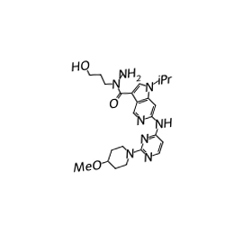 COC1CCN(c2nccc(Nc3cc4c(cn3)c(C(=O)N(N)CCCO)cn4C(C)C)n2)CC1